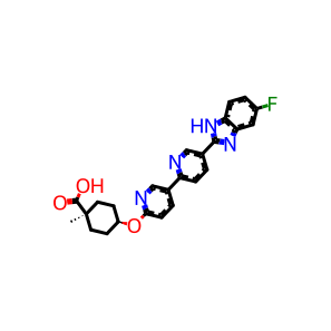 C[C@]1(C(=O)O)CC[C@@H](Oc2ccc(-c3ccc(-c4nc5cc(F)ccc5[nH]4)cn3)cn2)CC1